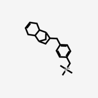 C[N+](C)(C)Cc1ccc(CC2CC3CC2C2CC=CCC32)cc1